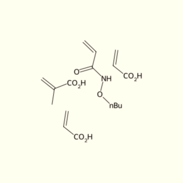 C=C(C)C(=O)O.C=CC(=O)NOCCCC.C=CC(=O)O.C=CC(=O)O